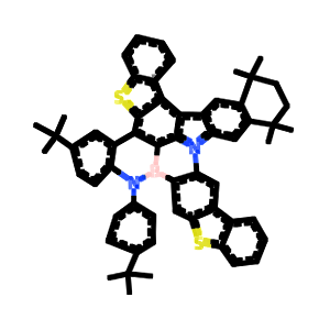 CC(C)(C)c1ccc(N2B3c4cc5sc6ccccc6c5cc4-n4c5cc6c(cc5c5c7c(sc8ccccc87)c(c3c54)-c3cc(C(C)(C)C)ccc32)C(C)(C)CCC6(C)C)cc1